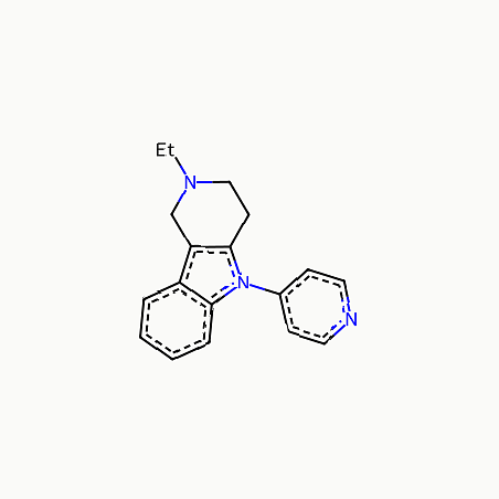 CCN1CCc2c(c3ccccc3n2-c2ccncc2)C1